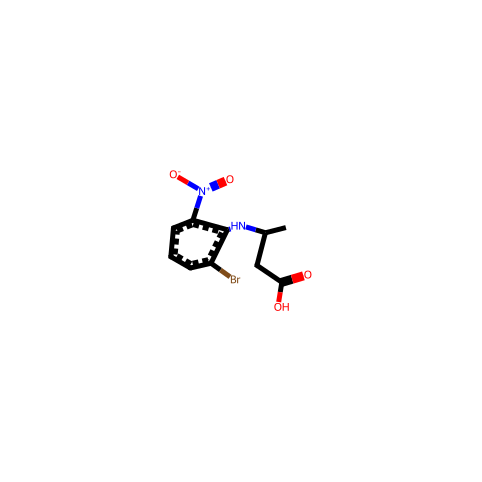 CC(CC(=O)O)Nc1c(Br)cccc1[N+](=O)[O-]